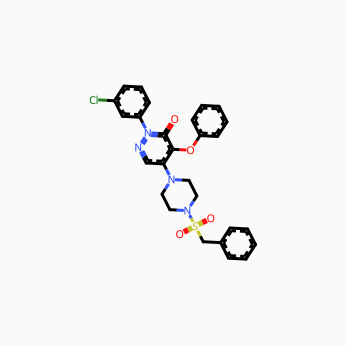 O=c1c(Oc2ccccc2)c(N2CCN(S(=O)(=O)Cc3ccccc3)CC2)cnn1-c1cccc(Cl)c1